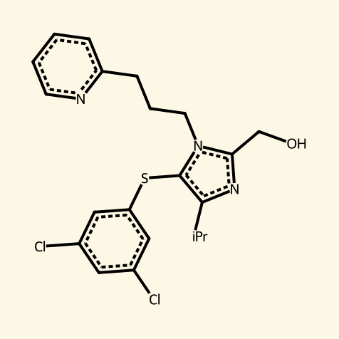 CC(C)c1nc(CO)n(CCCc2ccccn2)c1Sc1cc(Cl)cc(Cl)c1